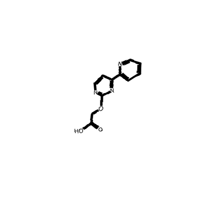 O=C(O)COc1nccc(-c2ccccn2)n1